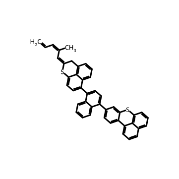 C=C/C=C(C)\C=C1/Cc2cccc3c(-c4ccc(-c5ccc6c(c5)Sc5cccc7cccc-6c57)c5ccccc45)ccc(c23)S1